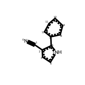 N#Cc1cc[nH]c1-c1[c]cccc1